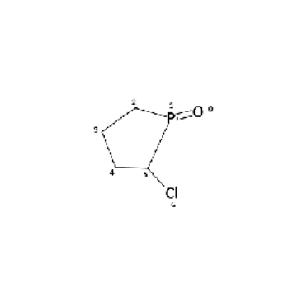 O=[P]1CCCC1Cl